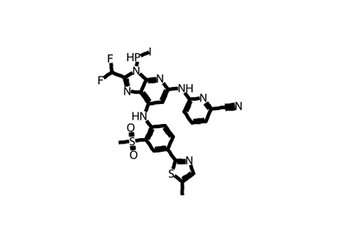 Cc1cnc(-c2ccc(Nc3cc(Nc4cccc(C#N)n4)nc4c3nc(C(F)F)n4PI)c(S(C)(=O)=O)c2)s1